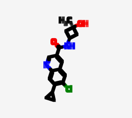 C[C@]1(O)C[C@@H](NC(=O)c2cnc3cc(C4CC4)c(Cl)cc3c2)C1